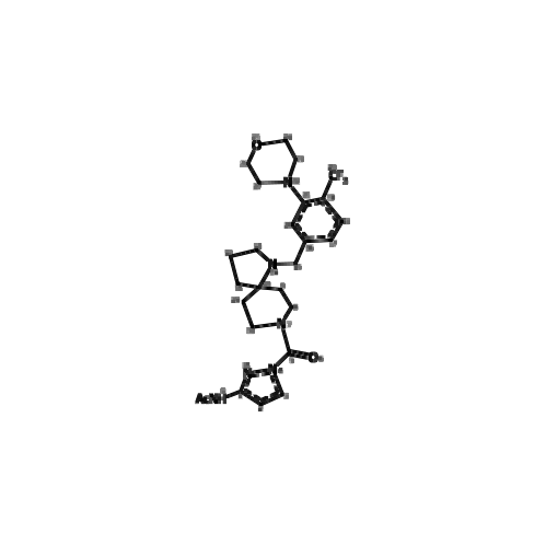 CC(=O)Nc1ccn(C(=O)N2CCC3(CCCN3Cc3ccc(C(F)(F)F)c(N4CCOCC4)c3)CC2)n1